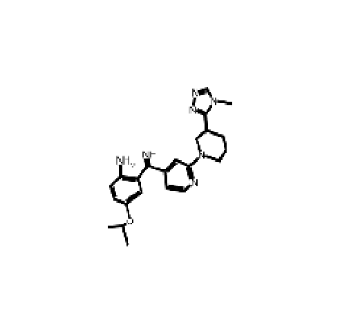 CC(C)Oc1ccc(N)c(C(=N)c2ccnc(N3CCCC(c4nncn4C)C3)c2)c1